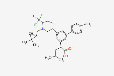 Cc1ccc(-c2cc(C3CCC(C(F)(F)F)N(CCC(C)(C)C)C3)cc(C(CC(C)C)C(=O)O)c2)cc1